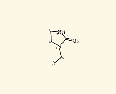 O=C1NCCN1CF